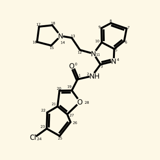 O=C(Nc1nc2ccccc2n1CCN1CCCC1)c1cc2cc(Cl)ccc2o1